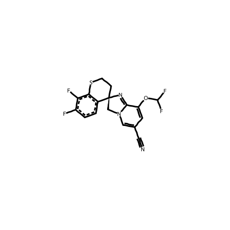 N#CC1=CN2C[C@@]3(CCSc4c3ccc(F)c4F)N=C2C(OC(F)F)=C1